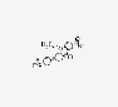 C=CCOc1ccc([N+](=O)[O-])cc1C(=O)N1CCN(c2ccc(C(F)(F)F)cc2)CC1